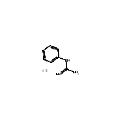 Cl.N=C(N)Nc1ccccc1